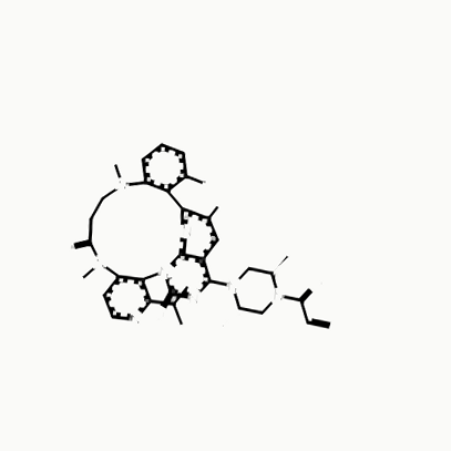 C=CC(=O)N1C[C@H](C)N(c2nc(=O)n3c4nc(c(F)cc24)-c2c(F)cccc2N(C)CCC(=O)N(C)c2ccnc(C(C)C)c2-3)C[C@H]1C